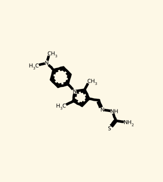 Cc1cc(C=NNC(N)=S)c(C)n1-c1ccc(N(C)C)cc1